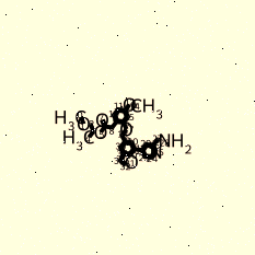 COCC(C)OC(=O)Cc1ccc(OC)cc1OCc1cc(-c2ccnc(CN)c2)c2occc2c1